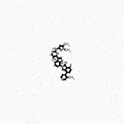 Cc1cnccc1-c1ccc(F)c2c1CN(c1cccc3c(-c4nc(Nc5cc(C)n(C)n5)ncc4C)c[nH]c13)C2=O